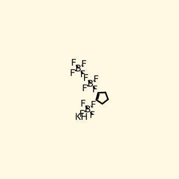 C1=CCCC1.F[B-](F)(F)F.F[B-](F)(F)F.F[B-](F)(F)F.[KH]